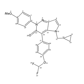 COc1ccc(-n2nc3ccn(CC4CC4)c3c(-c3ccc(OC(F)F)cc3)c2=O)cc1